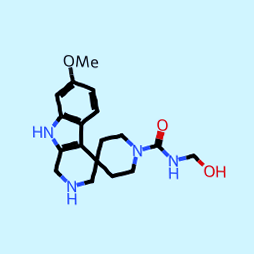 COc1ccc2c3c([nH]c2c1)CNCC31CCN(C(=O)NCO)CC1